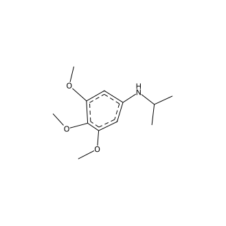 COc1cc(NC(C)C)cc(OC)c1OC